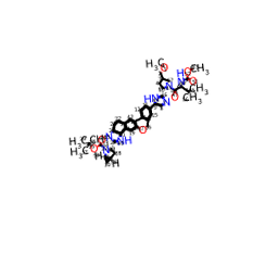 COCC1C[C@@H](c2ncc(-c3ccc4c(c3)COc3cc5c(ccc6nc([C@@H]7C[C@H]8C[C@H]8N7C(=O)OC(C)(C)C)[nH]c65)cc3-4)[nH]2)N(C(=O)C(NC(=O)OC)C(C)C)C1